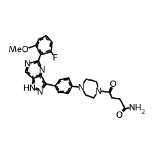 COc1cccc(F)c1-c1ncc2[nH]nc(-c3ccc(N4CCN(C(=O)CCC(N)=O)CC4)cc3)c2n1